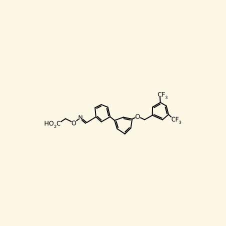 O=C(O)CO/N=C/c1cccc(-c2cccc(OCc3cc(C(F)(F)F)cc(C(F)(F)F)c3)c2)c1